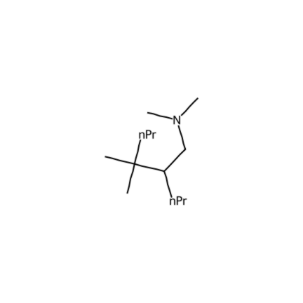 CCCC(CN(C)C)C(C)(C)CCC